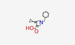 O=C(O)[C@H]1CN(Cc2ccccc2)C[C@@H]1C1CC1